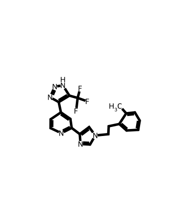 Cc1ccccc1CCn1cnc(-c2cc(-c3nn[nH]c3C(F)(F)F)ccn2)c1